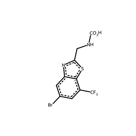 O=C(O)NCc1nc2cc(Br)cc(C(F)(F)F)c2s1